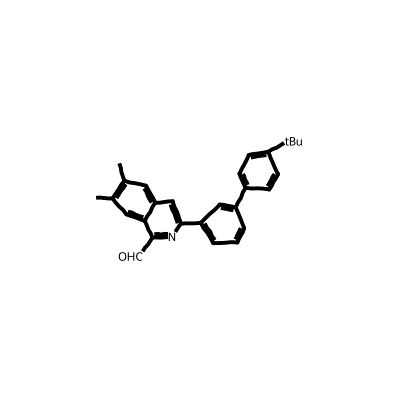 Cc1cc2cc(-c3cccc(-c4ccc(C(C)(C)C)cc4)c3)nc(C=O)c2cc1C